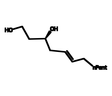 CCCCCC/C=C/C[C@H](O)CCO